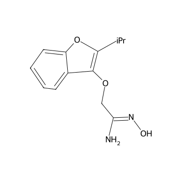 CC(C)c1oc2ccccc2c1OCC(N)=NO